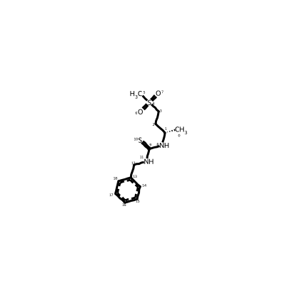 C[C@@H](CCS(C)(=O)=O)NC(=S)NCc1ccccc1